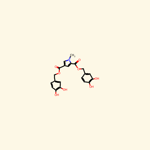 Cn1cc(C(=O)OCc2ccc(O)c(O)c2)cc1C(=O)OCc1ccc(O)c(O)c1